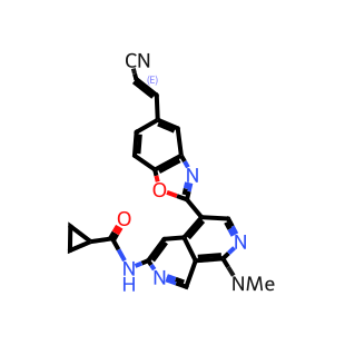 CNc1ncc(-c2nc3cc(/C=C/C#N)ccc3o2)c2cc(NC(=O)C3CC3)ncc12